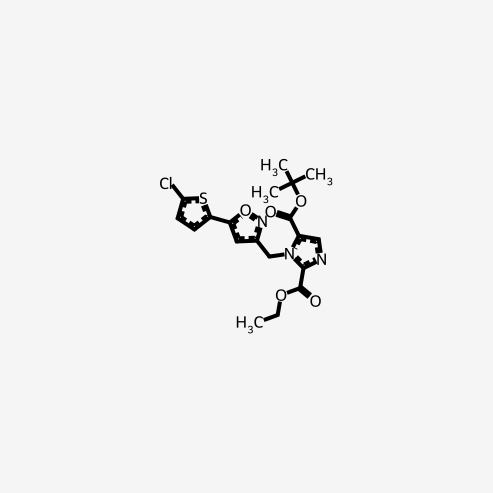 CCOC(=O)c1ncc(C(=O)OC(C)(C)C)n1Cc1cc(-c2ccc(Cl)s2)on1